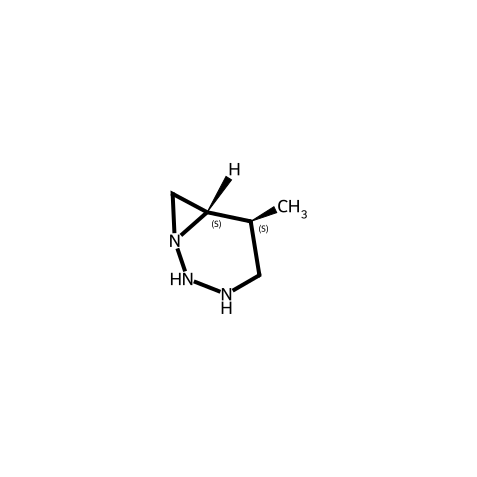 C[C@H]1CNNN2C[C@H]12